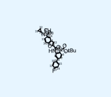 CC(C)(C)OC(=O)Nc1ccc(-c2ccc(F)cc2)cc1NC(=O)c1cc2cc(S(C)(=O)=NC3CC3)ccc2o1